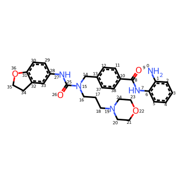 Nc1ccccc1NC(=O)c1ccc(CN(CCCN2CCOCC2)C(=O)Nc2ccc3c(c2)CCO3)cc1